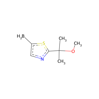 Bc1cnc(C(C)(C)OC)s1